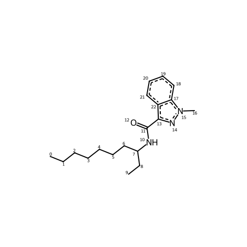 CCCCCCCC(CC)NC(=O)c1nn(C)c2ccccc12